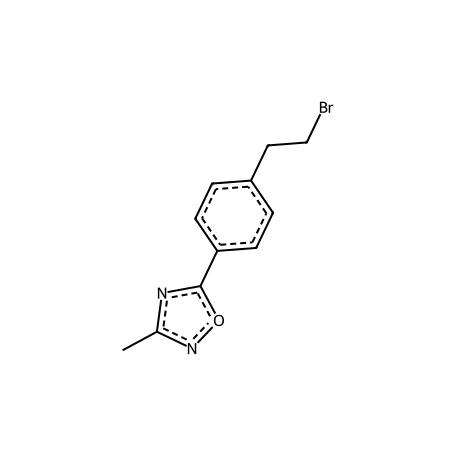 Cc1noc(-c2ccc(CCBr)cc2)n1